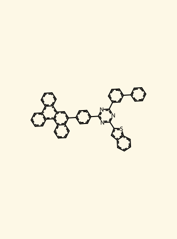 c1ccc(-c2cccc(-c3nc(-c4ccc(-c5cc6c7ccccc7c7ccccc7c6c6ccccc56)cc4)nc(-c4cc5ccccc5s4)n3)c2)cc1